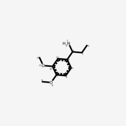 C[CH]C(N)c1ccc(OC)c(OC)c1